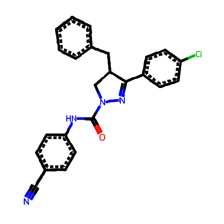 N#Cc1ccc(NC(=O)N2CC(Cc3ccccc3)C(c3ccc(Cl)cc3)=N2)cc1